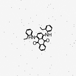 CCc1ccccc1Nc1ccc(Nc2ccccc2CC)c2c1C(=O)c1ccccc1C2=O